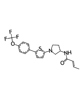 CC=CC(=O)NC1CCN(c2ccc(-c3ccc(OC(F)(F)F)cc3)s2)C1